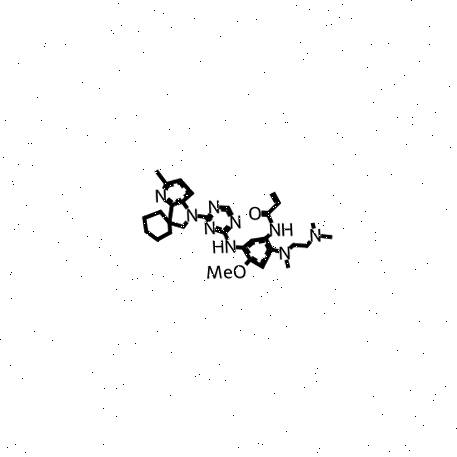 C=CC(=O)Nc1cc(Nc2ncnc(N3CC4(CCCCC4)c4nc(C)ccc43)n2)c(OC)cc1N(C)CCN(C)C